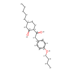 CCCCCC1CCC(C(=O)Cc2ccc(OCCCC)cc2)C(=O)C1